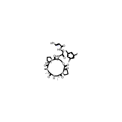 CCC/C=C/C(=O)N[C@H](Cc1cc(F)cc(F)c1)C(=O)N[C@H]1COC(=O)[C@@H]2CCCN2C(=O)[C@H](C)NC(=O)[C@H](C)N(C)C(=O)[C@@H]2CCCN2C1=O